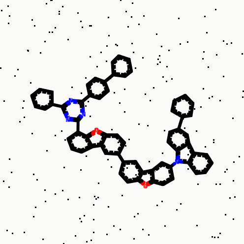 c1ccc(-c2ccc(-c3nc(-c4ccccc4)nc(-c4cccc5c4oc4ccc(-c6ccc7oc8ccc(-n9c%10ccccc%10c%10cc(-c%11ccccc%11)ccc%109)cc8c7c6)cc45)n3)cc2)cc1